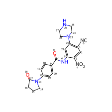 [C-]#[N+]c1cc([N+](=O)[O-])c(NC(=O)c2ccc(N3CCCC3=O)cc2)cc1N1CCNCC1